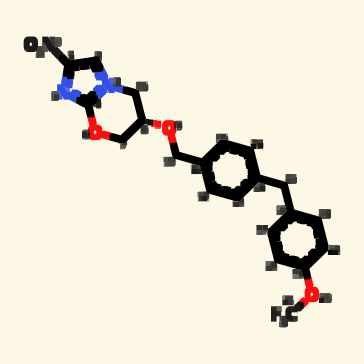 O=[N+]([O-])c1cn2c(n1)OC[C@@H](OCc1ccc(Cc3ccc(OC(F)(F)F)cc3)cc1)C2